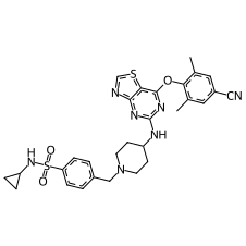 Cc1cc(C#N)cc(C)c1Oc1nc(NC2CCN(Cc3ccc(S(=O)(=O)NC4CC4)cc3)CC2)nc2ncsc12